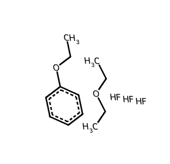 CCOCC.CCOc1ccccc1.F.F.F